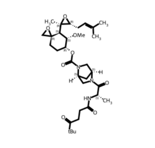 CO[C@@H]1[C@H](OC(=O)N2C[C@@H]3C[C@H]2CN3C(=O)[C@H](C)NC(=O)CCC(=O)C(C)(C)C)CC[C@]2(CO2)[C@H]1[C@@]1(C)O[C@@H]1CC=C(C)C